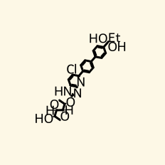 CCC(O)(O)c1ccc(-c2ccc(-c3nc4nc(O[C@@H]5CO[C@H]6[C@@H]5OC[C@H]6O)[nH]c4cc3Cl)cc2)cc1